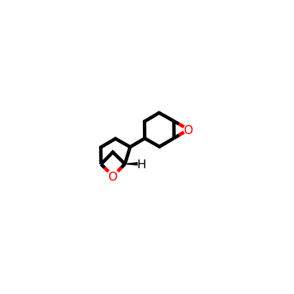 C1CC(C2CCC3OC3C2)[C@H]2CC1O2